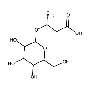 C[C@H](CC(=O)O)OC1OC(CO)C(O)C(O)C1O